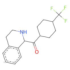 O=C(C1CCC(C(F)(F)F)CC1)C1NCCc2c[c]ccc21